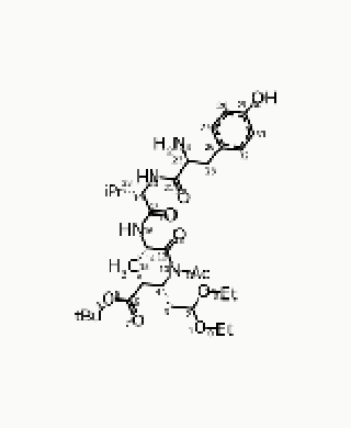 CCOC(C[C@H](CC(=O)OC(C)(C)C)N(C(C)=O)C(=O)[C@H](C)NC(=O)[C@@H](NC(=O)[C@@H](N)Cc1ccc(O)cc1)C(C)C)OCC